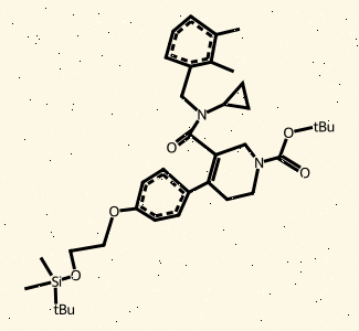 Cc1cccc(CN(C(=O)C2=C(c3ccc(OCCO[Si](C)(C)C(C)(C)C)cc3)CCN(C(=O)OC(C)(C)C)C2)C2CC2)c1C